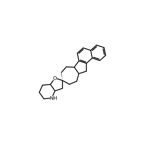 c1ccc2c3c(ccc2c1)C1CC[C@]2(CCC1C3)CC1NCCCC1O2